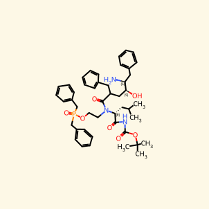 CC(C)C[C@H](C(=O)NC(=O)OC(C)(C)C)N(CCOP(=O)(Cc1ccccc1)Cc1ccccc1)C(=O)C(Cc1ccccc1)C[C@H](O)[C@@H](N)Cc1ccccc1